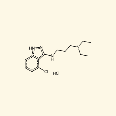 CCN(CC)CCCNc1n[nH]c2cccc(Cl)c12.Cl